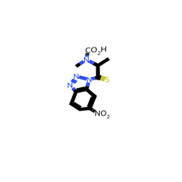 CC(C(=S)n1nnc2ccc([N+](=O)[O-])cc21)N(C)C(=O)O